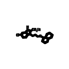 CCOC(=O)c1[nH]c2cc(Cl)ccc2c1CCCOc1cccc2ccccc12